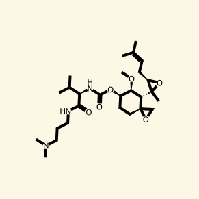 CO[C@H]1[C@H](C2(C)O[C@@H]2CC=C(C)C)[C@]2(CC[C@H]1OC(=O)N[C@@H](C(=O)NCCCN(C)C)C(C)C)CO2